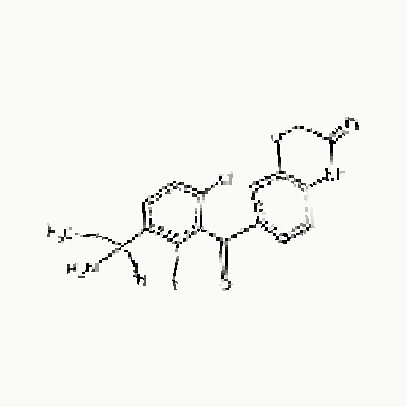 [2H][C@@](N)(CC)c1ccc(Cl)c(C(=O)c2ccc3c(c2)OCC(=O)N3)c1F